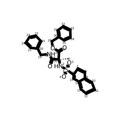 C[C@](NS(=O)(=O)c1ccc2ccccc2c1)(C(=O)NCc1ccccc1)C(=O)OCc1ccccc1